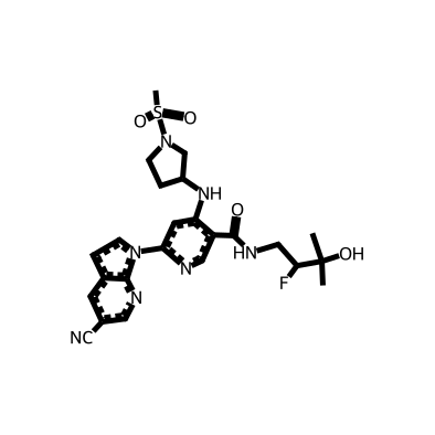 CC(C)(O)C(F)CNC(=O)c1cnc(-n2ccc3cc(C#N)cnc32)cc1NC1CCN(S(C)(=O)=O)C1